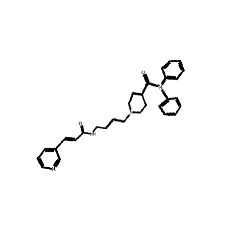 O=C(C=Cc1cccnc1)NCCCCN1CCC(C(=O)N(c2ccccc2)c2ccccc2)CC1